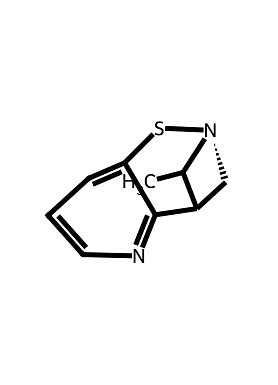 CC1C2C[N@@]1Sc1cccnc12